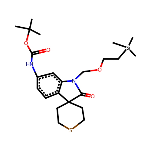 CC(C)(C)OC(=O)Nc1ccc2c(c1)N(COCC[Si](C)(C)C)C(=O)C21CCSCC1